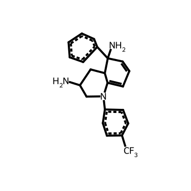 NC1CC2C(=CC=CC2(N)c2ccccc2)N(c2ccc(C(F)(F)F)cc2)C1